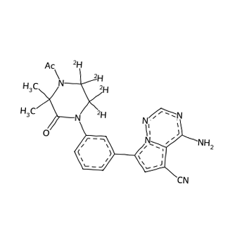 [2H]C1([2H])N(c2cccc(-c3cc(C#N)c4c(N)ncnn34)c2)C(=O)C(C)(C)N(C(C)=O)C1([2H])[2H]